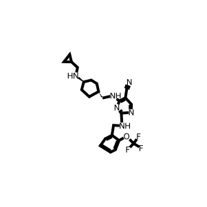 N#Cc1cnc(NCc2ccccc2OC(F)(F)F)nc1NC[C@H]1CC[C@H](NCC2CC2)CC1